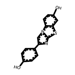 Oc1ccc(-c2cn3c(n2)sc2cc(O)ccc23)cc1